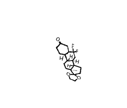 C[C@]12CC[C@H]3[C@@H](CC(F)(F)C4CC(=O)CC[C@@H]43)[C@@H]1CCC21OCCO1